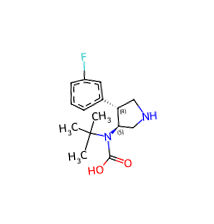 CC(C)(C)N(C(=O)O)[C@@H]1CNC[C@H]1c1cccc(F)c1